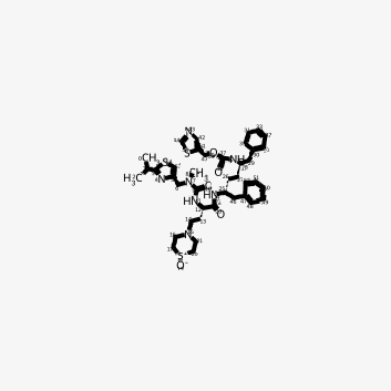 CC(C)c1nc(CN(C)C(=O)N[C@@H](CCN2CC[S+]([O-])CC2)C(=O)N[C@H](CC[C@H](Cc2ccccc2)NC(=O)OCc2cncs2)Cc2ccccc2)cs1